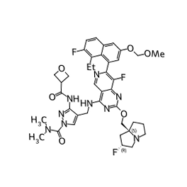 CCc1c(F)ccc2cc(OCOC)cc(-c3ncc4c(NCc5cn(C(=O)N(C)C)nc5NC(=O)C5COC5)nc(OC[C@@]56CCCN5C[C@H](F)C6)nc4c3F)c12